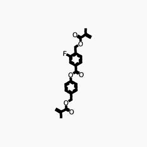 C=C(C)C(=O)OCc1ccc(OC(=O)c2ccc(COC(=O)C(=C)C)c(F)c2)cc1